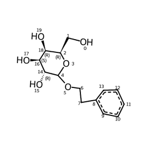 OC[C@H]1OC(OCCc2ccccc2)[C@H](O)[C@@H](O)[C@H]1O